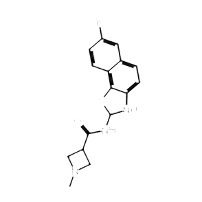 CN1CC(C(=O)NC2Nc3ccc4cc(F)ccc4c3S2)C1